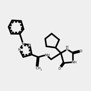 C=C(NCC1(C2CCCC2)NC(=O)NC1=O)c1cnn(-c2ccccc2)n1